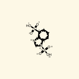 O=S(=O)(O)c1cccc2c1ncn2S(=O)(=O)O